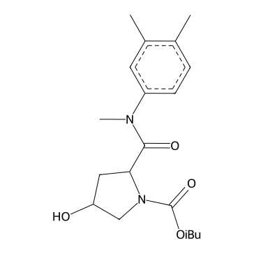 Cc1ccc(N(C)C(=O)C2CC(O)CN2C(=O)OCC(C)C)cc1C